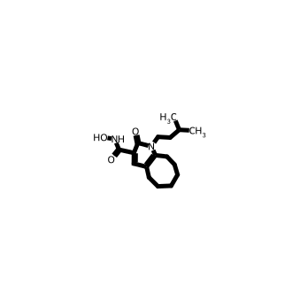 CC(C)CCn1c2c(cc(C(=O)NO)c1=O)CCCCCC2